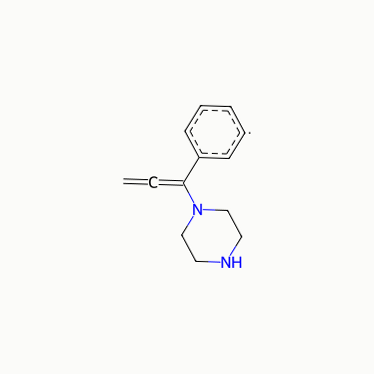 C=C=C(c1c[c]ccc1)N1CCNCC1